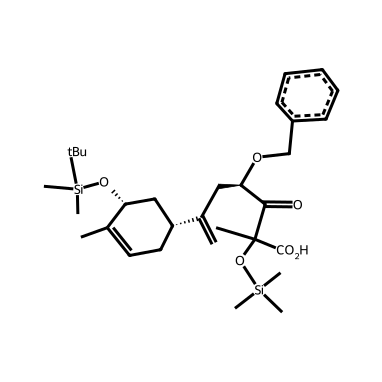 C=C(C[C@@H](OCc1ccccc1)C(=O)C(C)(O[Si](C)(C)C)C(=O)O)[C@@H]1CC=C(C)[C@H](O[Si](C)(C)C(C)(C)C)C1